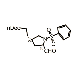 CCCCCCCCCCCC[C@H]1C[C@H](C=O)N(S(=O)(=O)c2ccccc2)C1